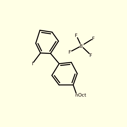 CCCCCCCCc1ccc(-c2ccccc2I)cc1.F[B-](F)(F)F